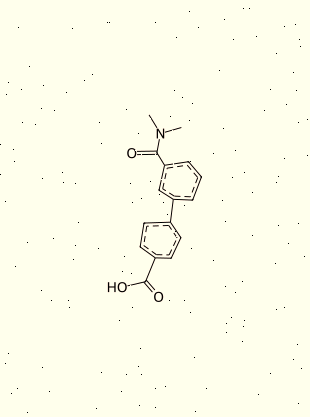 CN(C)C(=O)c1cccc(-c2ccc(C(=O)O)cc2)c1